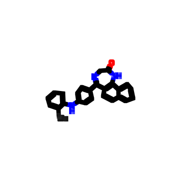 CC(C)(C)c1ccccc1Nc1ccc(C2=NCC(=O)Nc3c2ccc2ccccc32)cc1